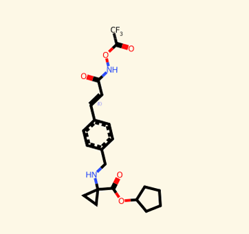 O=C(/C=C/c1ccc(CNC2(C(=O)OC3CCCC3)CC2)cc1)NOC(=O)C(F)(F)F